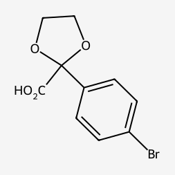 O=C(O)C1(c2ccc(Br)cc2)OCCO1